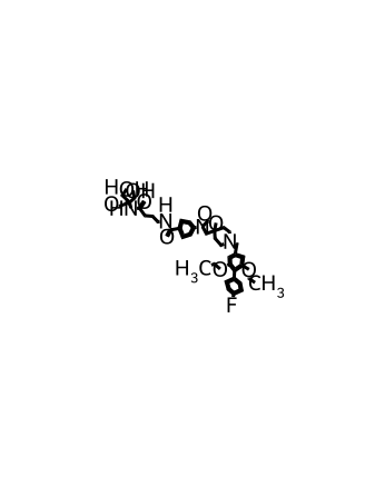 CCOc1cc(CN2CCC3(CC2)CN(c2ccc(C(=O)NCCCC(=O)NC(CO)(CO)CO)cc2)C(=O)O3)cc(OCC)c1-c1ccc(F)cc1